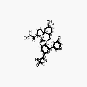 CCNC(=O)[C@H]1CCCN1c1nc2cc(-c3noc(=O)[nH]3)nc(-c3cncc(Cl)c3)c2n1CC1CCC(C)CC1